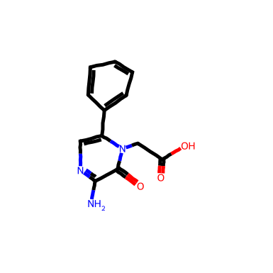 Nc1ncc(-c2ccccc2)n(CC(=O)O)c1=O